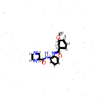 O=C(Nc1cccc2oc(-c3cccc(OC(F)(F)F)c3)nc12)c1cnccn1